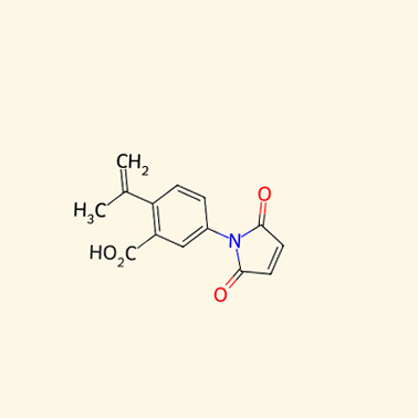 C=C(C)c1ccc(N2C(=O)C=CC2=O)cc1C(=O)O